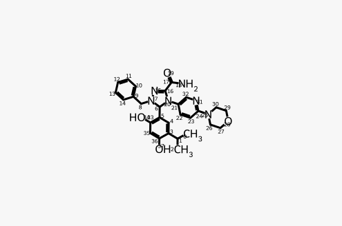 CC(C)c1cc(C2N(Cc3ccccc3)N=C(C(N)=O)N2c2ccc(N3CCOCC3)nc2)c(O)cc1O